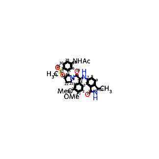 COc1ccc([C@@H](Nc2ccc3c(c2)C(=O)NC3C)C(=O)N2CCC[C@@H]2c2cc(NC(C)=O)ccc2S(C)(=O)=O)cc1OC